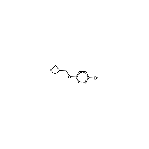 Brc1ccc(OCC2CCO2)cc1